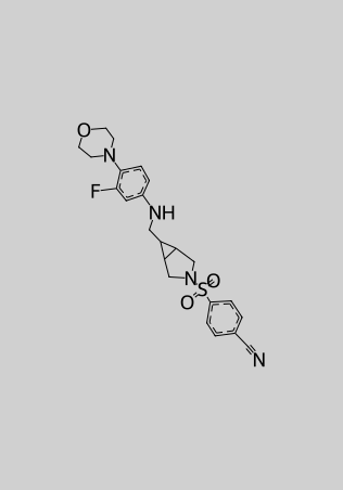 N#Cc1ccc(S(=O)(=O)N2CC3C(CNc4ccc(N5CCOCC5)c(F)c4)C3C2)cc1